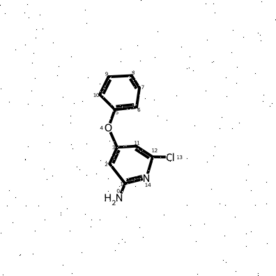 Nc1cc(Oc2ccccc2)cc(Cl)n1